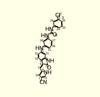 N#Cc1c[nH]c(C=C2C(=O)Nc3cc(Nc4cccc(NC(=O)Nc5cccc(C(F)(F)F)c5)c4)ccc32)c1